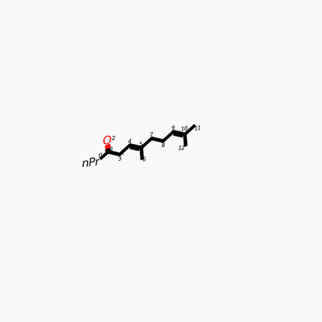 CCCC(=O)[CH]/C=C(\C)CCC=C(C)C